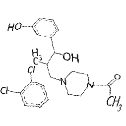 CC(=O)N1CCN(CC(C)C(O)c2cccc(O)c2)CC1.Clc1ccccc1Cl